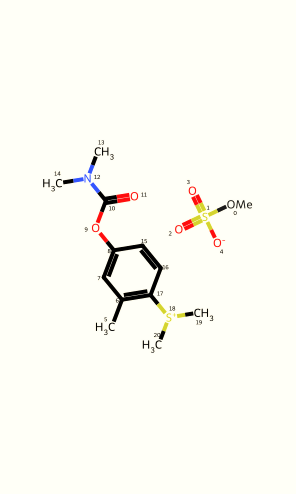 COS(=O)(=O)[O-].Cc1cc(OC(=O)N(C)C)ccc1[S+](C)C